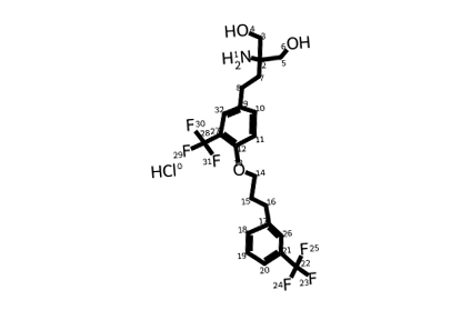 Cl.NC(CO)(CO)CCc1ccc(OCCCc2cccc(C(F)(F)F)c2)c(C(F)(F)F)c1